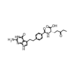 CCC(=O)CC[C@H](NC(=O)c1ccc(CCc2c[nH]c3nc(N)[nH]c(=O)c23)cc1)C(=O)O